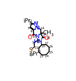 CCCSCCCN1C(=O)c2cc(C(C)C)nn2CC1(C)C(=O)NC1CCCCCCC1